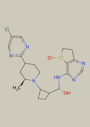 C[C@H]1CC(c2ncc(Cl)cn2)CCN1C1CCC1[C@@H](O)Nc1ncnc2c1[S+]([O-])CC2